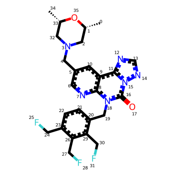 C[C@@H]1CN(Cc2cnc3c(c2)c2ncnn2c(=O)n3Cc2ccc(CF)c(CF)c2CF)C[C@H](C)O1